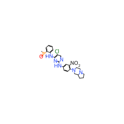 CP(C)(=O)c1ccccc1Nc1nc(Nc2ccc(N3CCN4CCCC4C3)c([N+](=O)[O-])c2)ncc1Cl